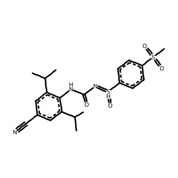 CC(C)c1cc(C#N)cc(C(C)C)c1NC(=O)N=[SH](=O)c1ccc(S(C)(=O)=O)cc1